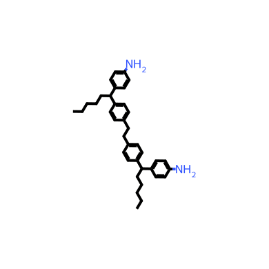 CCCCCC(c1ccc(N)cc1)c1ccc(CCc2ccc(C(CCCCC)c3ccc(N)cc3)cc2)cc1